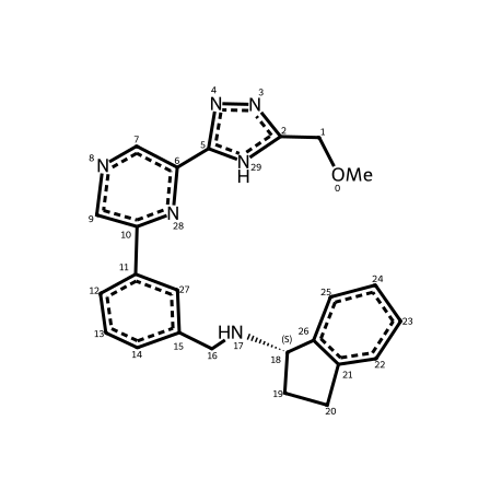 COCc1nnc(-c2cncc(-c3cccc(CN[C@H]4CCc5ccccc54)c3)n2)[nH]1